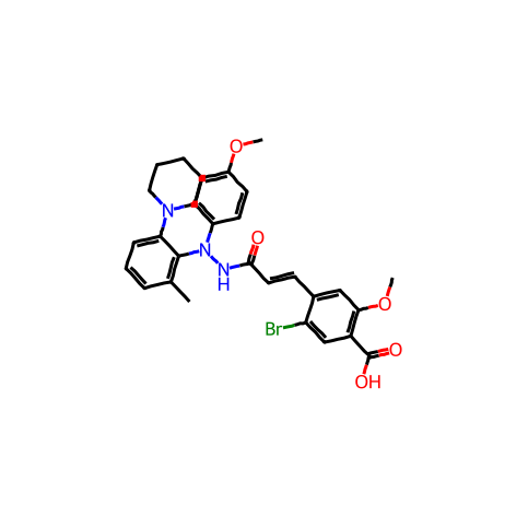 COc1ccc(N(NC(=O)C=Cc2cc(OC)c(C(=O)O)cc2Br)c2c(C)cccc2N2CCCCC2)cc1